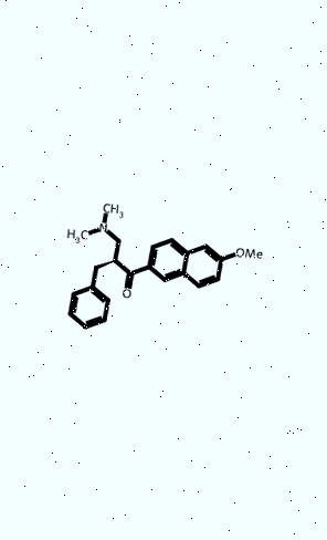 COc1ccc2cc(C(=O)[C@@H](Cc3ccccc3)CN(C)C)ccc2c1